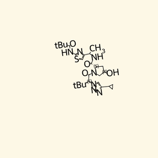 CC(NC(=O)[C@@H]1C[C@@H](O)CN1C(=O)[C@@H](n1cc(C2CC2)nn1)C(C)(C)C)c1csc(NC(=O)C(C)(C)C)n1